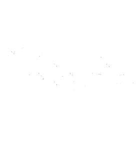 C=N/C(=N\C(=C(/C)F)c1cc(F)c2c(c1)N(C(C)CC)CC(C)(C)O2)Nc1cc2c(cn1)CN(C)C2